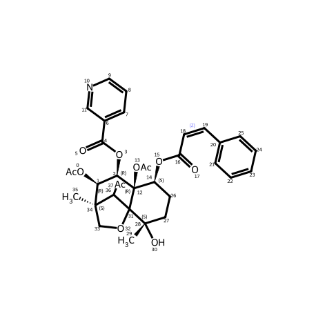 CC(=O)O[C@H]1[C@@H](OC(=O)c2cccnc2)[C@]2(OC(C)=O)[C@@H](OC(=O)/C=C\c3ccccc3)CC[C@](C)(O)C23OC[C@]1(C)C3C(C)=O